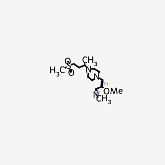 C/N=C\C(=C/N1CCN(C(C)CCS(C)(=O)=O)CC1)OC